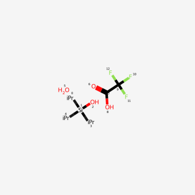 CC(C)[Si](O)(C(C)C)C(C)C.O.O=C(O)C(F)(F)F